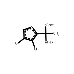 CCCCCCC(C)(CCCCC)c1scc(Br)c1Cl